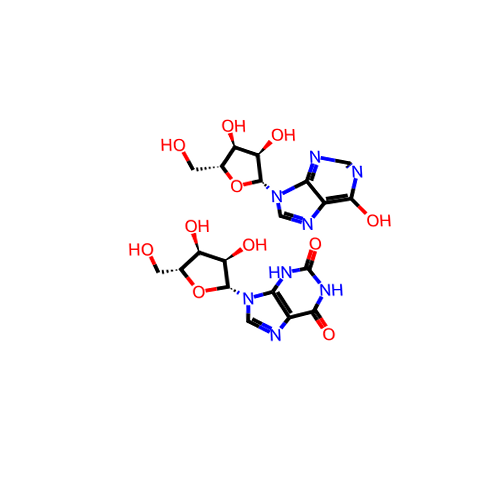 O=c1[nH]c(=O)c2ncn([C@@H]3O[C@H](CO)[C@@H](O)[C@H]3O)c2[nH]1.OC[C@H]1O[C@@H](n2cnc3c(O)ncnc32)[C@H](O)[C@@H]1O